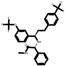 CNC(=O)[C@H](N[C@H](CCc1ccc(C(F)(F)F)cc1)c1cccc(OC(F)(F)F)c1)c1ccccc1